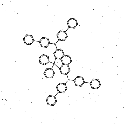 c1ccc(-c2ccc(N(c3ccc(-c4ccccc4)cc3)c3cc4c5c(ccc6cc(N(c7ccc(-c8ccccc8)cc7)c7ccc(-c8ccccc8)cc7)cc(c65)C4(c4ccccc4)c4ccccc4)c3)cc2)cc1